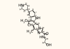 Cc1cc(-c2[nH]c3ccc(C4CCNCC4)cc3c2C(C)C)cn2cc(C(=O)NCCO)nc12